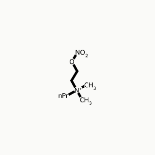 CCC[N+](C)(C)CCO[N+](=O)[O-]